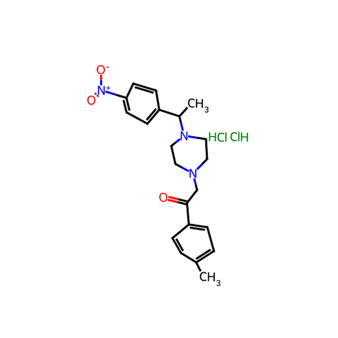 Cc1ccc(C(=O)CN2CCN(C(C)c3ccc([N+](=O)[O-])cc3)CC2)cc1.Cl.Cl